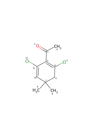 CC(=O)C1=C(Cl)CC(C)(C)C=C1Cl